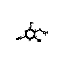 CCCc1cc(F)c(CO)c(Br)c1